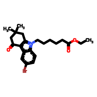 CCOC(=O)CCCCCn1c2c(c3cc(Br)ccc31)C(=O)CC(C)(C)C2